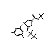 Cc1cc(C)nc(C[C@@H]2CN(C(=O)OC(C)(C)C)C[C@H]2O[Si](C)(C)C(C)(C)C)c1